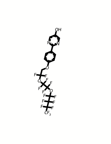 Oc1cnc(-c2ccc(OCC(F)(F)OC(F)(F)C(F)(F)OC(F)(F)C(F)(F)C(F)(F)C(F)(F)F)cc2)nc1